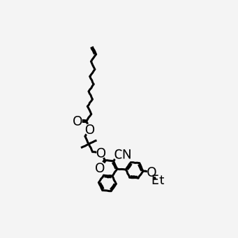 C=CCCCCCCCCC(=O)OCC(C)(C)COC(=O)/C(C#N)=C(\c1ccccc1)c1ccc(OCC)cc1